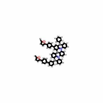 Cc1ccc(-c2ccc(-c3cccc(B4c5ccccc5N5c6cccc7c6B(c6cccc4c65)c4cc(-c5ccc(-c6ccc(C)o6)cc5)cc5c4N7c4ccccc4B5c4ccccc4)c3)cc2)o1